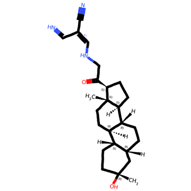 C[C@@]1(O)CC[C@H]2[C@H](CC[C@@H]3[C@@H]2CC[C@]2(C)[C@@H](C(=O)CN/C=C(/C#N)C=N)CC[C@@H]32)C1